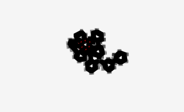 CC1(C)c2ccccc2C2(c3ccccc3-c3ccccc32)c2cc(-c3ccccc3N(c3cccc(-c4ccccc4)c3)c3ccc(-c4ccccc4)c(-c4ccccc4)c3)ccc21